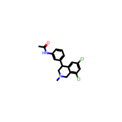 CC(=O)Nc1cccc(C2CN(C)Cc3c(Cl)cc(Cl)cc32)c1